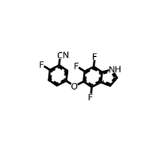 N#Cc1cc(Oc2c(F)c(F)c3[nH]ccc3c2F)ccc1F